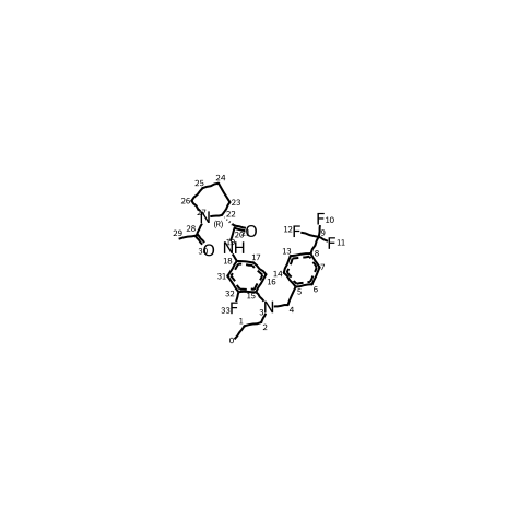 CCCN(Cc1ccc(C(F)(F)F)cc1)c1ccc(NC(=O)[C@H]2CCCCN2C(C)=O)cc1F